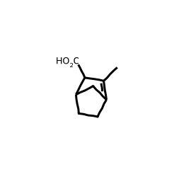 CC1=C2CCC(C2)C1C(=O)O